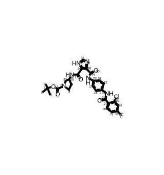 CC(C)(C)OC(=O)N1CCC(NC(=O)c2[nH]cnc2C(=O)Nc2ccc(NC(=O)c3ccc(F)cc3Cl)cc2)C1